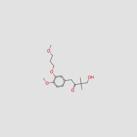 COCCCOc1cc(CC(=O)C(C)(C)CO)ccc1OC